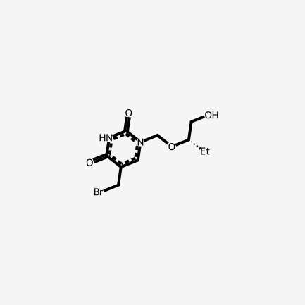 CC[C@@H](CO)OCn1cc(CBr)c(=O)[nH]c1=O